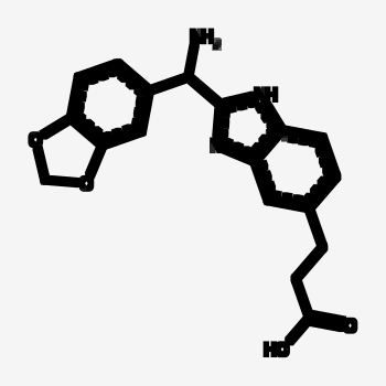 NC(c1ccc2c(c1)OCO2)c1nc2cc(CCC(=O)O)ccc2[nH]1